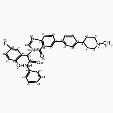 CN1CCC(c2ccc(-c3ccc4ncn(C(C(=O)Nc5ccccn5)c5cc(F)ccc5O)c(=O)c4c3)cc2)CC1